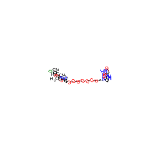 CC1(C)[C@H](NC(=O)c2ccc(OCCOCCOCCOCCOCCOCCOCCCCNc3cccc4nnn(C5CCC(=O)NC5=O)c(=O)c34)cc2)C(C)(C)[C@H]1Oc1ccc(C#N)c(Cl)c1